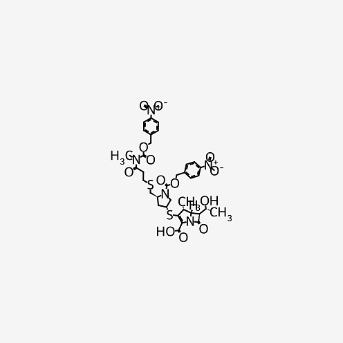 C[C@@H](O)[C@H]1C(=O)N2C(C(=O)O)=C(S[C@H]3C[C@@H](CSCCC(=O)N(C)C(=O)OCc4ccc([N+](=O)[O-])cc4)N(C(=O)OCc4ccc([N+](=O)[O-])cc4)C3)[C@H](C)[C@H]12